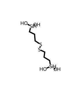 O[SiH](O)CCCSSCCC[SiH](O)O